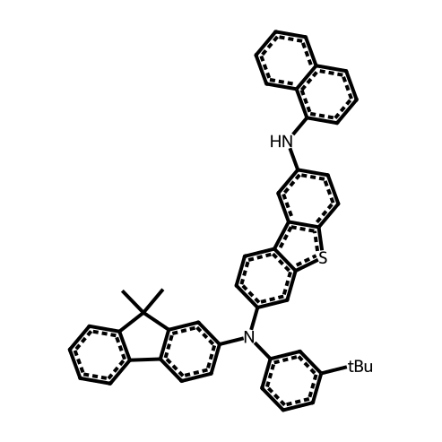 CC(C)(C)c1cccc(N(c2ccc3c(c2)C(C)(C)c2ccccc2-3)c2ccc3c(c2)sc2ccc(Nc4cccc5ccccc45)cc23)c1